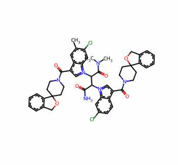 Cc1cc2c(C(=O)N3CCC4(CC3)OCc3ccccc34)cn(C(C(=O)N(C)C)C(C(N)=O)n3cc(C(=O)N4CCC5(CC4)OCc4ccccc45)c4ccc(Cl)cc43)c2cc1Cl